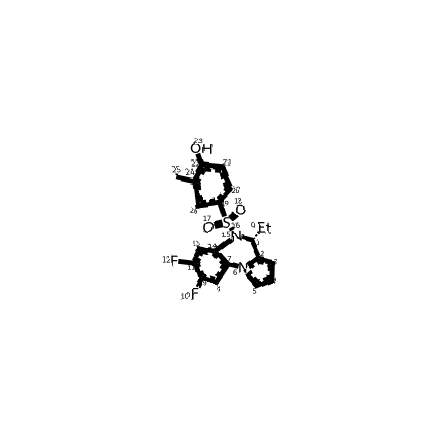 CC[C@@H]1c2cccn2-c2cc(F)c(F)cc2N1S(=O)(=O)c1ccc(O)c(C)c1